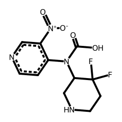 O=C(O)N(c1ccncc1[N+](=O)[O-])C1CNCCC1(F)F